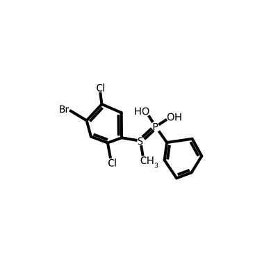 CS(c1cc(Cl)c(Br)cc1Cl)=P(O)(O)c1ccccc1